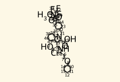 CC(O)C(NCCCOc1ccccc1)c1c(C(=O)O)n(Cc2ccc(S(=O)(=O)N(C)C(F)(F)F)cc2)c2ccccc12